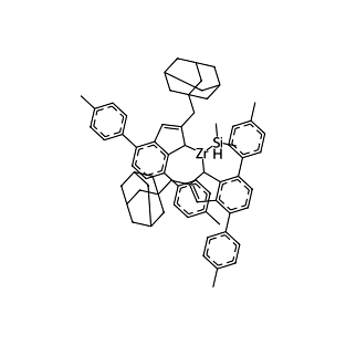 Cc1ccc(-c2ccc(-c3ccc(C)cc3)c3c2C=C(CC24CC5CC(CC(C5)C2)C4)[CH]3[Zr]([CH]2C(CC34CC5CC(CC(C5)C3)C4)=Cc3c(-c4ccc(C)cc4)ccc(-c4ccc(C)cc4)c32)[SiH](C)C)cc1